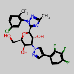 Cc1nc([C@@H]2O[C@H](CO)[C@H](O)[C@H](n3cc(-c4ccc(F)c(F)c4F)cn3)[C@H]2O)n(-c2cc(Cl)ccc2C(F)(F)F)n1